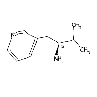 CC(C)[C@@H](N)Cc1cccnc1